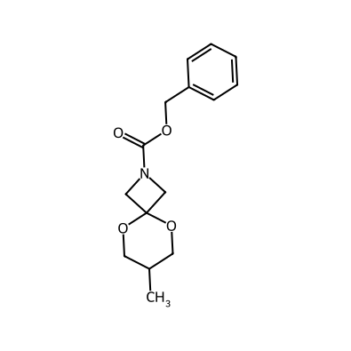 CC1COC2(CN(C(=O)OCc3ccccc3)C2)OC1